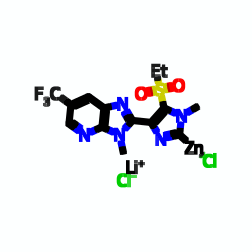 CCS(=O)(=O)c1c(-c2nc3cc(C(F)(F)F)cnc3n2C)n[c]([Zn][Cl])n1C.[Cl-].[Li+]